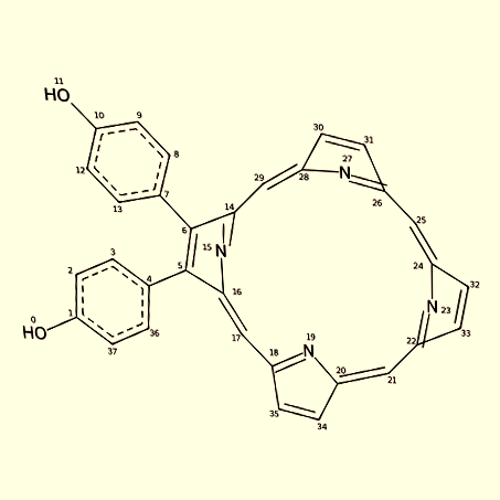 Oc1ccc(C2=C(c3ccc(O)cc3)C3=NC2=CC2=NC(=CC4=NC(=CC5=NC(=C3)C=C5)C=C4)C=C2)cc1